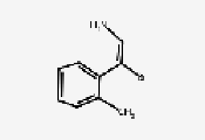 Cc1ccccc1/C(Br)=C\N